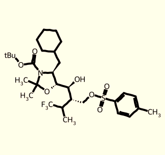 Cc1ccc(S(=O)(=O)OC[C@H](C(C)C(F)(F)F)[C@H](O)[C@@H]2OC(C)(C)N(C(=O)OC(C)(C)C)[C@H]2CC2CCCCC2)cc1